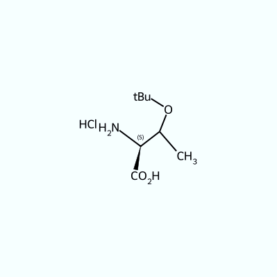 CC(OC(C)(C)C)[C@H](N)C(=O)O.Cl